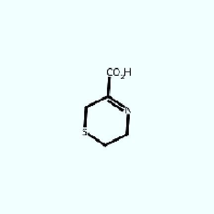 O=C(O)C1=NCCS[CH]1